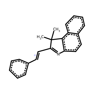 CC1(C)C(/C=C/c2ccccc2)=Nc2ccc3ccccc3c21